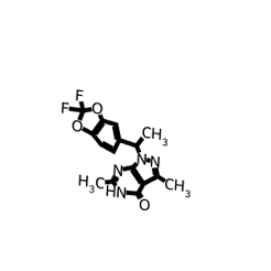 Cc1nc2c(c(C)nn2C(C)c2ccc3c(c2)OC(F)(F)O3)c(=O)[nH]1